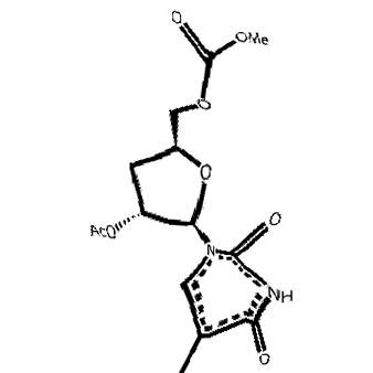 COC(=O)OC[C@@H]1C[C@@H](OC(C)=O)[C@H](n2cc(C)c(=O)[nH]c2=O)O1